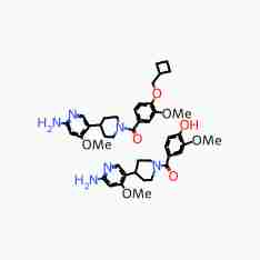 COc1cc(C(=O)N2CCC(c3cnc(N)cc3OC)CC2)ccc1O.COc1cc(C(=O)N2CCC(c3cnc(N)cc3OC)CC2)ccc1OCC1CCC1